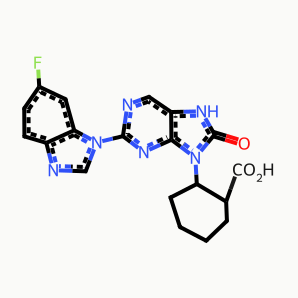 O=C(O)C1CCCCC1n1c(=O)[nH]c2cnc(-n3cnc4ccc(F)cc43)nc21